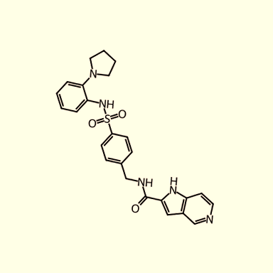 O=C(NCc1ccc(S(=O)(=O)Nc2ccccc2N2CCCC2)cc1)c1cc2cnccc2[nH]1